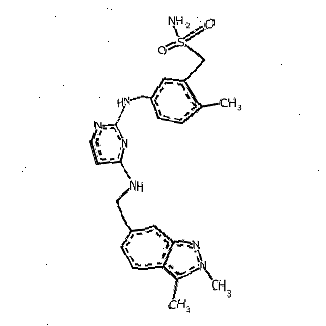 Cc1ccc(Nc2nccc(NCc3ccc4c(C)n(C)nc4c3)n2)cc1CS(N)(=O)=O